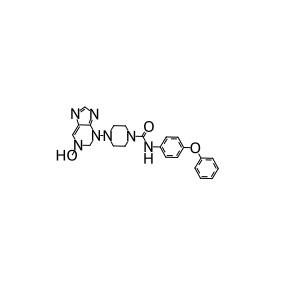 O=C(Nc1ccc(Oc2ccccc2)cc1)N1CCN(N2CN(O)C=C3N=CN=C32)CC1